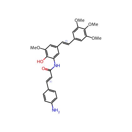 COc1cc(/C=C/c2cc(OC)c(OC)c(OC)c2)cc(NC(=O)/C=C/c2ccc(N)cc2)c1O